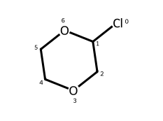 ClC1COCCO1